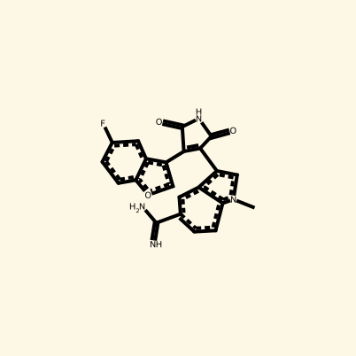 Cn1cc(C2=C(c3coc4ccc(F)cc34)C(=O)NC2=O)c2cc(C(=N)N)ccc21